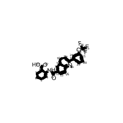 O=C(Nc1ccccc1C(=O)O)c1ccc2nc(-c3cccc(OC(F)(F)F)c3)ccc2c1